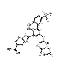 N=C(N)c1ccc2[nH]c(-c3cc(CC(=O)N[C@@H](CC(O)=P)C(=O)O)cc(-c4cc(S(N)(=O)=O)ccc4O)c3O)nc2c1